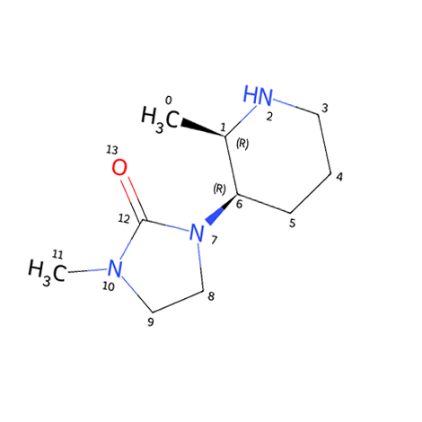 C[C@H]1NCCC[C@H]1N1CCN(C)C1=O